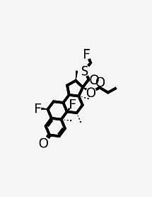 CCC(=O)O[C@]1(C(=O)SCF)[C@H](C)CC2C3C[C@H](F)C4=CC(=O)C=C[C@]4(C)[C@@]3(F)[C@@H](C)C[C@@]21C